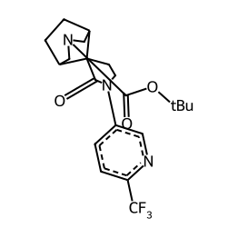 CC(C)(C)OC(=O)N1CC2CCC(C1)C21CCN(c2ccc(C(F)(F)F)nc2)C1=O